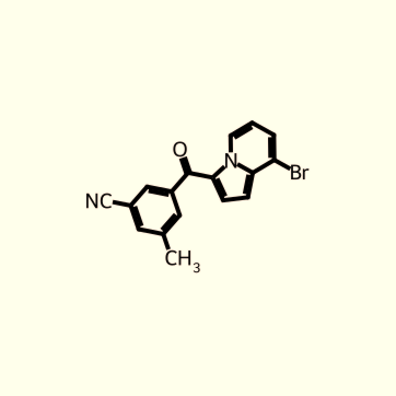 Cc1cc(C#N)cc(C(=O)c2ccc3c(Br)cccn23)c1